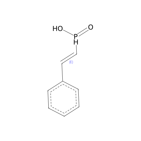 O=[PH](O)/C=C/c1ccccc1